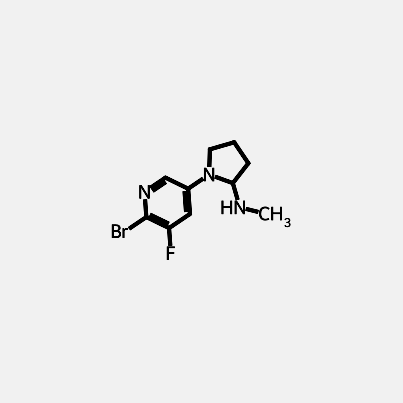 CNC1CCCN1c1cnc(Br)c(F)c1